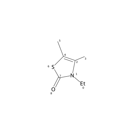 CCn1c(C)c(C)sc1=O